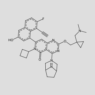 C#Cc1c(F)ccc2cc(O)cc(-c3cc4nc(OCC5(CN(C)C)CC5)nc(N5CC6CCC(C5)N6)c4c(=O)n3C3CCC3)c12